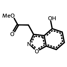 COC(=O)Cc1noc2cccc(O)c12